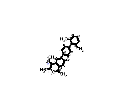 C=C/C(=N/C)c1cc2c(cc1C(=C)C)sc1cc(-c3c(C)cccc3C)ccc12